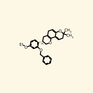 CCOc1ccc([C@H]2COC3=C(CC=C4OC(C)(C)CC=C43)C2)c(OCc2ccccc2)c1